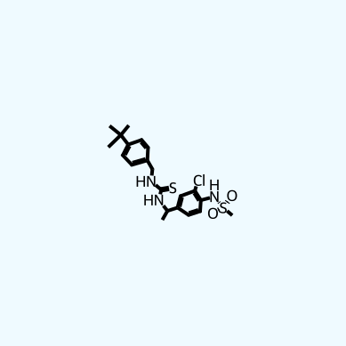 CC(NC(=S)NCc1ccc(C(C)(C)C)cc1)c1ccc(NS(C)(=O)=O)c(Cl)c1